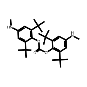 CNc1cc(C(C)(C)C)c(OC(=O)Oc2c(C(C)(C)C)cc(NC)cc2C(C)(C)C)c(C(C)(C)C)c1